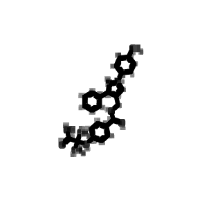 Cc1ccc(-n2cc(COC(=O)c3ccc(OC(C)(C)C(=O)O)cc3)c(-c3ccccc3)n2)cc1